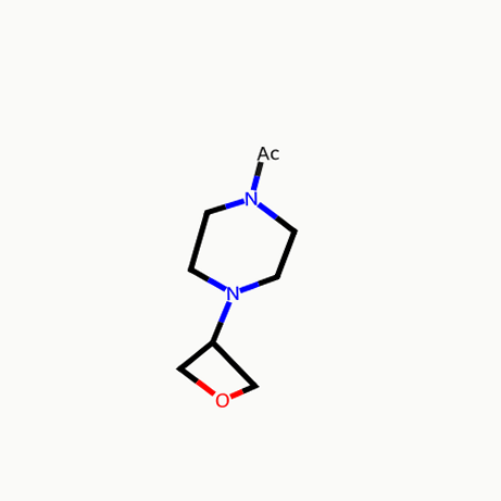 CC(=O)N1CCN(C2COC2)CC1